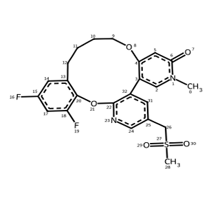 Cn1cc2c(cc1=O)OCCCCc1cc(F)cc(F)c1Oc1ncc(CS(C)(=O)=O)cc1-2